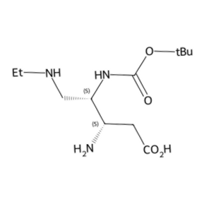 CCNC[C@H](NC(=O)OC(C)(C)C)[C@@H](N)CC(=O)O